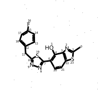 Cc1nc2c(O)c(-c3nnc(Cc4ccc(F)cc4)s3)ccc2s1